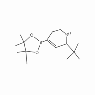 CC(C)(C)C1C=C(B2OC(C)(C)C(C)(C)O2)CCN1